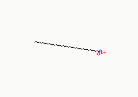 CCCCCCCCCCCCCCCCCCCCCCCCCCCCCCCCCCCCCCC(=O)N(O)I